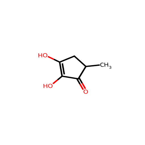 CC1CC(O)=C(O)C1=O